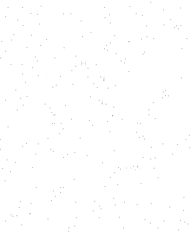 COc1ccc(CN2C=c3ccccc3=NC2CC(C)O)cc1